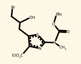 CCOC(=O)c1nc(N(C)C(=O)OC(C)(C)C)sc1CC(O)CBr